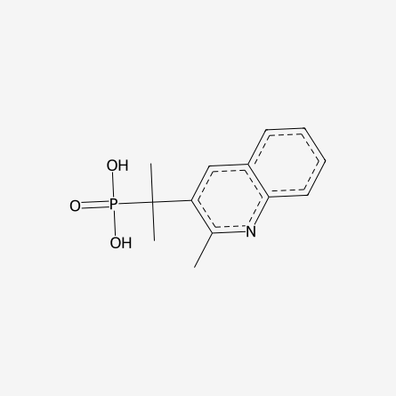 Cc1nc2ccccc2cc1C(C)(C)P(=O)(O)O